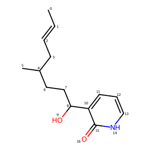 CC=CCC(C)CCC(O)c1ccc[nH]c1=O